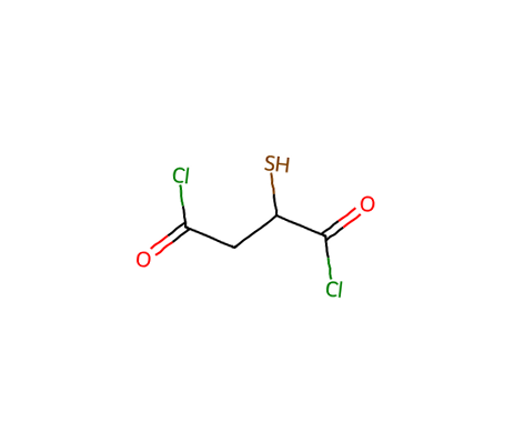 O=C(Cl)CC(S)C(=O)Cl